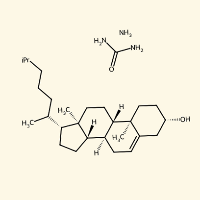 CC(C)CCCC(C)[C@H]1CC[C@H]2[C@@H]3CC=C4C[C@@H](O)CC[C@]4(C)[C@H]3CC[C@]12C.N.NC(N)=O